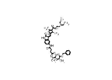 CCN(CC)CCNC(=O)c1c(C)[nH]c(/C=C2\C(=O)Nc3ccc(NC(=O)CCC(=O)O[C@@H](C)C(=O)O[C@@H](C)C(=O)OCc4ccccc4)cc32)c1C